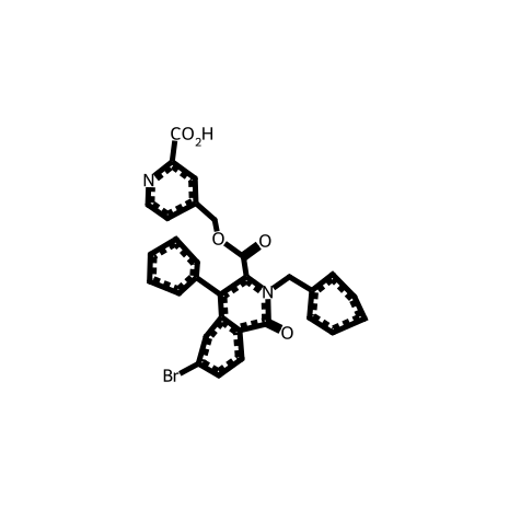 O=C(O)c1cc(COC(=O)c2c(-c3ccccc3)c3cc(Br)ccc3c(=O)n2Cc2ccccc2)ccn1